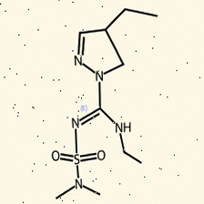 CCN/C(=N\S(=O)(=O)N(C)C)N1CC(CC)C=N1